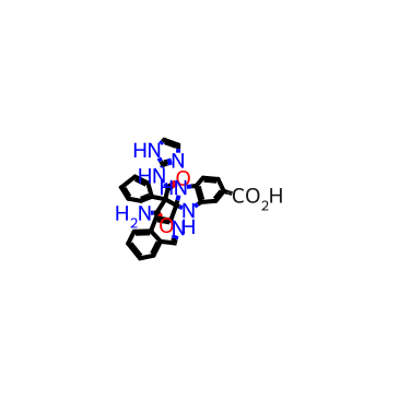 NC(=O)C(C(=O)Nc1ncc[nH]1)(c1ccccc1)C1(c2cc3ccccc3cn2)Nc2ccc(C(=O)O)cc2N1